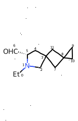 CCN1CC2(C[C@H]1C=O)CC1(CC1)C2